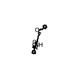 O=C(CCCCCCSC(=O)CCc1ccccc1)Nc1nc(-c2ccccc2)cs1